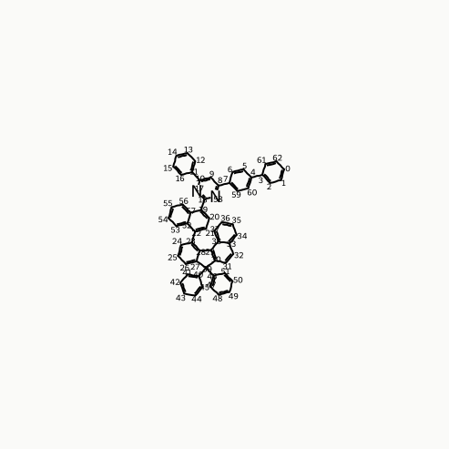 c1ccc(-c2ccc(-c3cc(-c4ccccc4)nc(-c4ccc(-c5cccc6c5-c5c(ccc7ccccc57)C6(c5ccccc5)c5ccccc5)c5ccccc45)n3)cc2)cc1